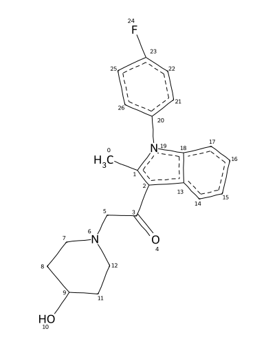 Cc1c(C(=O)CN2CCC(O)CC2)c2ccccc2n1-c1ccc(F)cc1